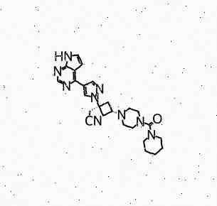 N#CC[C@]1(n2cc(-c3ncnc4[nH]ccc34)cn2)C[C@H](N2CCN(C(=O)N3CCCCC3)CC2)C1